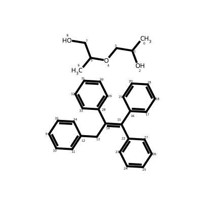 CC(O)COC(C)CO.c1ccc(CC(=C(c2ccccc2)c2ccccc2)c2ccccc2)cc1